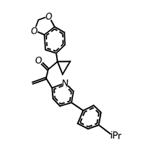 C=C(C(=O)C1(c2ccc3c(c2)OCO3)CC1)c1ccc(-c2ccc(C(C)C)cc2)cn1